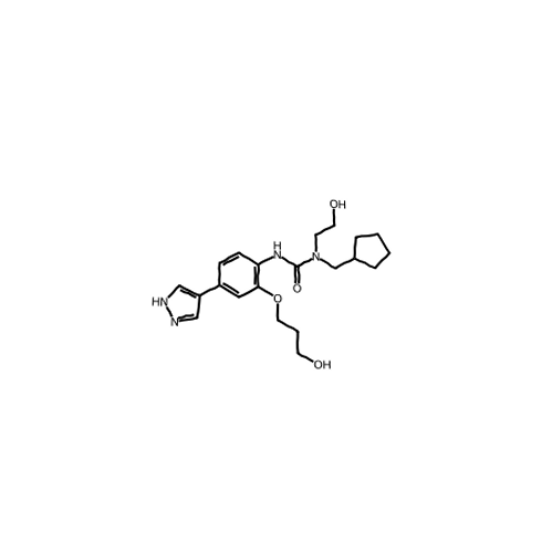 O=C(Nc1ccc(-c2cn[nH]c2)cc1OCCCO)N(CCO)CC1CCCC1